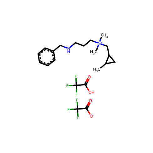 CC1CC1C[N+](C)(C)CCCNCc1ccccc1.O=C(O)C(F)(F)F.O=C([O-])C(F)(F)F